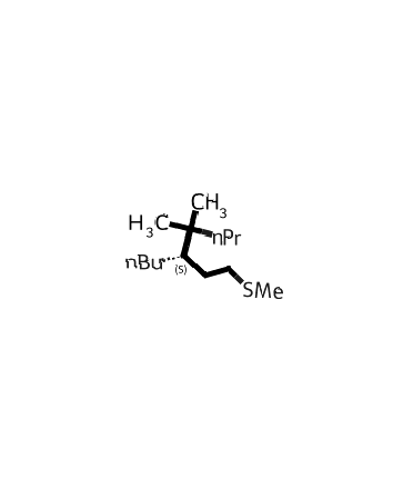 CCCC[C@@H](CCSC)C(C)(C)CCC